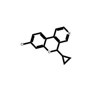 Clc1ccc2c(c1)OC(C1CC1)c1cnccc1-2